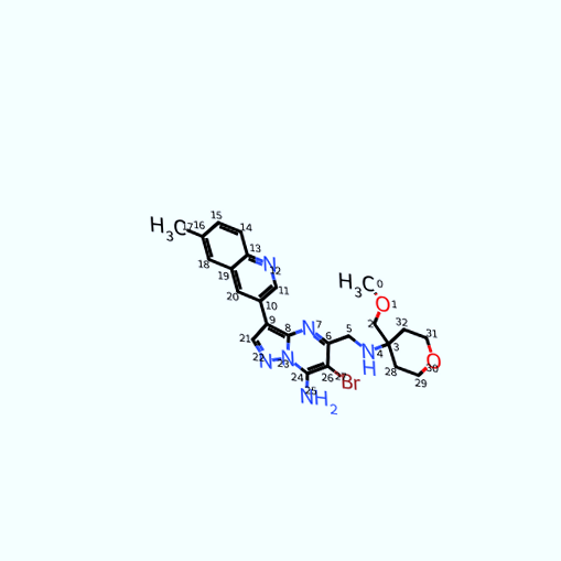 COCC1(NCc2nc3c(-c4cnc5ccc(C)cc5c4)cnn3c(N)c2Br)CCOCC1